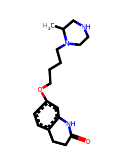 CC1CNCCN1CCCCOc1ccc2c(c1)NC(=O)CC2